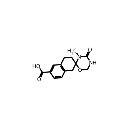 CN1C(=O)NCOC12CCc1cc(C(=O)O)ccc1C2